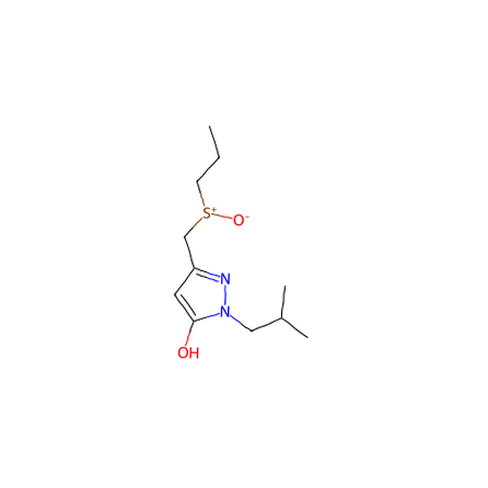 CCC[S+]([O-])Cc1cc(O)n(CC(C)C)n1